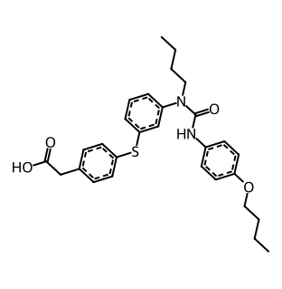 CCCCOc1ccc(NC(=O)N(CCCC)c2cccc(Sc3ccc(CC(=O)O)cc3)c2)cc1